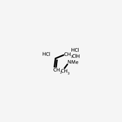 C=CC.CNC.Cl.Cl.Cl